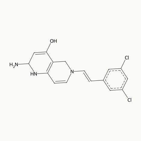 NC1C=C(O)C2=C(C=CN(C=Cc3cc(Cl)cc(Cl)c3)C2)N1